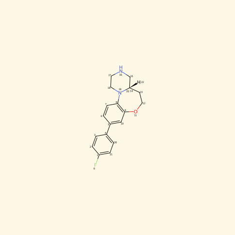 Fc1ccc(-c2ccc3c(c2)OCC[C@H]2CNCCN32)cc1